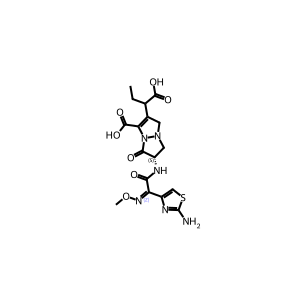 CCC(C(=O)O)C1=C(C(=O)O)N2C(=O)[C@@H](NC(=O)/C(=N\OC)c3csc(N)n3)CN2C1